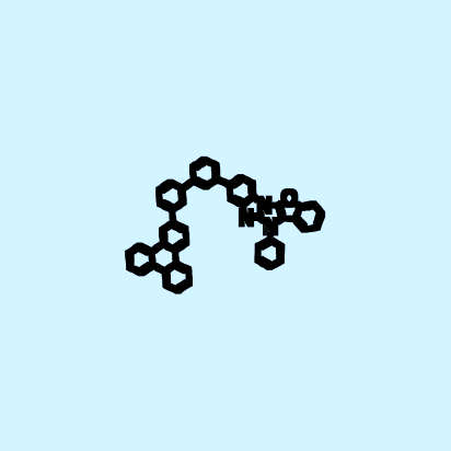 c1ccc(-n2c3c4ccccc4oc3n3c4ccc(-c5cccc(-c6cccc(-c7ccc8c9ccccc9c9ccccc9c8c7)c6)c5)cc4nc23)cc1